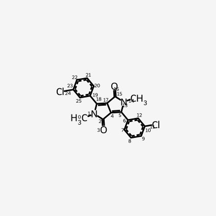 CN1C(=O)C2=C(c3cccc(Cl)c3)N(C)C(=O)C2=C1c1cccc(Cl)c1